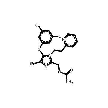 CC(C)c1nc(COC(N)=O)n(CCc2ccccn2)c1Sc1cc(Cl)cc(Cl)c1